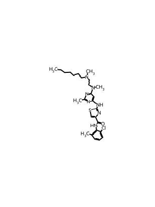 CCCCCCCN(C)CCN(C)c1cc(Nc2nc(C(=O)Nc3c(C)cccc3Cl)cs2)nc(C)n1